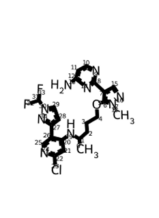 CC(CCCOc1c(-c2nccc(N)n2)cnn1C)Nc1cc(Cl)ncc1-c1ccn(C(F)F)n1